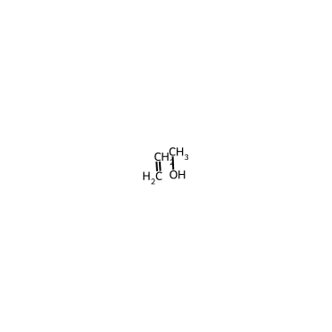 C=C.CO